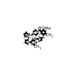 COc1cc(C)c(SC2CN=C(Nc3cc(N4CCC[C@H]4CN4CCCC4)nc(C)n3)S2)cc1C(=O)N1CCN(C(C)=O)CC1